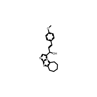 COc1ccc(C=CC(O)c2cnc3sc4c(n23)CCCCC4)cc1